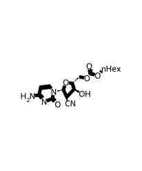 CCCCCCOC(=O)OC[C@H]1O[C@@H](n2ccc(N)nc2=O)[C@@H](C#N)[C@@H]1O